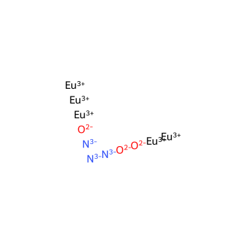 [Eu+3].[Eu+3].[Eu+3].[Eu+3].[Eu+3].[N-3].[N-3].[N-3].[O-2].[O-2].[O-2]